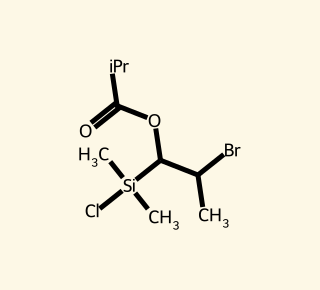 CC(C)C(=O)OC(C(C)Br)[Si](C)(C)Cl